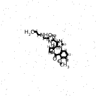 C=CCNCc1nc(-c2ncn3c2[C@@H]2CCN2C(=O)c2c-3ccc(F)c2OC)no1